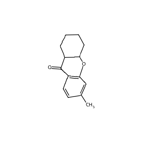 Cc1ccc2c(c1)OC1CCCCC1C2=O